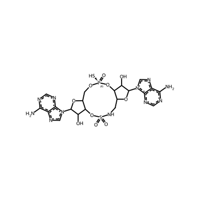 Nc1ncnc2c1ncn2C1OC2CNS(=O)(=O)OC3C(CO[P@@](=O)(S)OC2C1O)OC(n1cnc2c(N)ncnc21)C3O